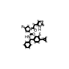 O=C(N[C@@H](c1ccccc1)c1ccc(C2CC2)c(F)c1)[C@@H]1C[C@@H](F)CN1C(=O)Cc1cnn[nH]1